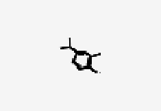 [CH2]c1ccc(C(C)C)cc1C